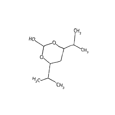 CC(C)C1CC(C(C)C)OC(O)O1